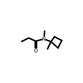 CCC(=O)N(C)C1(C)CCC1